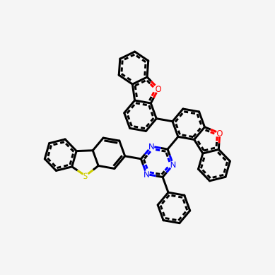 C1=CC2c3ccccc3SC2C=C1c1nc(-c2ccccc2)nc(-c2c(-c3cccc4c3oc3ccccc34)ccc3oc4ccccc4c23)n1